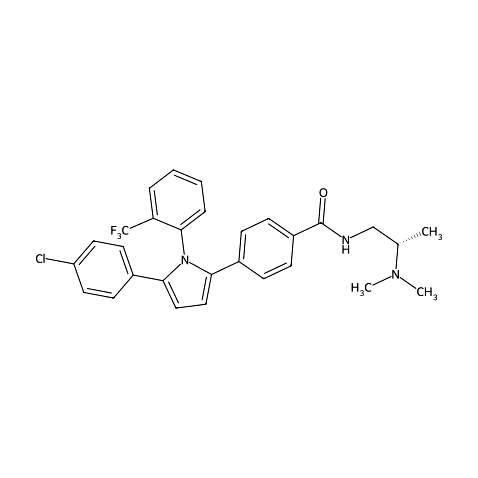 C[C@@H](CNC(=O)c1ccc(-c2ccc(-c3ccc(Cl)cc3)n2-c2ccccc2C(F)(F)F)cc1)N(C)C